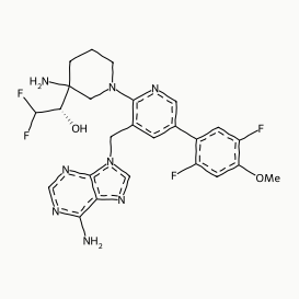 COc1cc(F)c(-c2cnc(N3CCCC(N)([C@H](O)C(F)F)C3)c(Cn3cnc4c(N)ncnc43)c2)cc1F